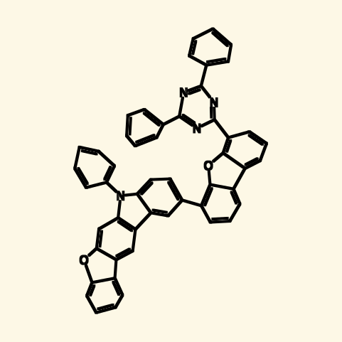 c1ccc(-c2nc(-c3ccccc3)nc(-c3cccc4c3oc3c(-c5ccc6c(c5)c5cc7c(cc5n6-c5ccccc5)oc5ccccc57)cccc34)n2)cc1